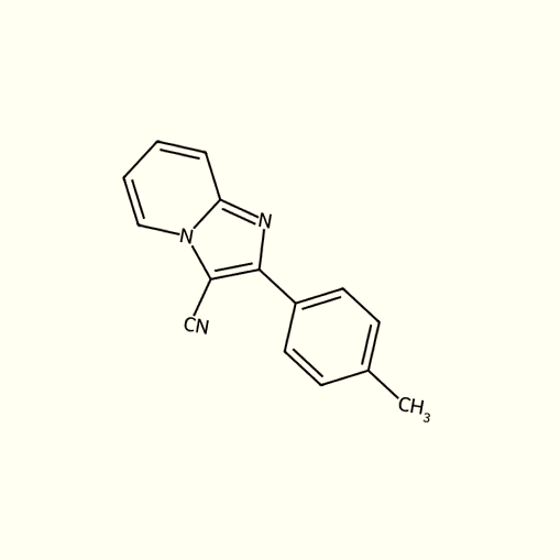 Cc1ccc(-c2nc3ccccn3c2C#N)cc1